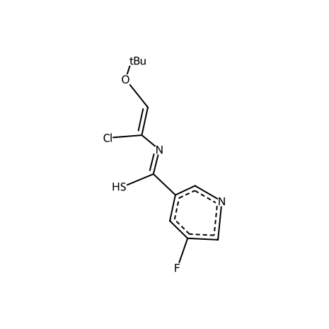 CC(C)(C)O/C=C(Cl)/N=C(\S)c1cncc(F)c1